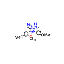 COc1cccc(C(C)Nc2nnc(-c3ccc(OC)cc3OC(F)(F)F)c3cncn23)c1